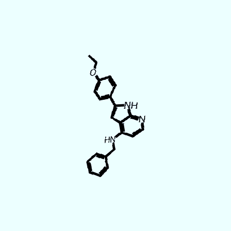 CCOc1ccc(-c2cc3c(NCc4ccccc4)ccnc3[nH]2)cc1